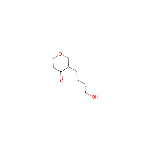 O=C1CCOCC1CCCCO